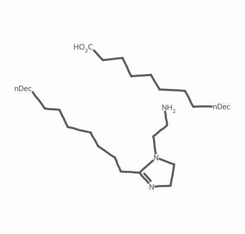 CCCCCCCCCCCCCCCCCC(=O)O.CCCCCCCCCCCCCCCCCC1=NCCN1CCN